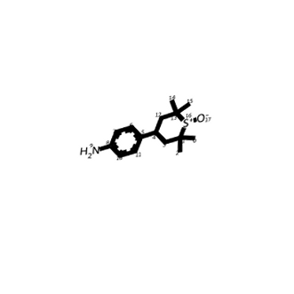 CC1(C)CC(c2ccc(N)cc2)CC(C)(C)[S+]1[O-]